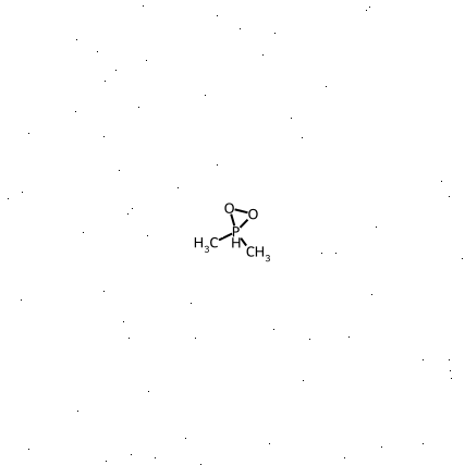 C[PH]1(C)OO1